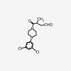 CC(CC=O)C(=O)N1CCN(c2cc(Cl)cc(Cl)c2)CC1